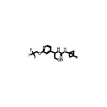 O=C(NC(CO)c1ccnc(OCC(F)(F)F)c1)NC12CC(F)(C1)C2